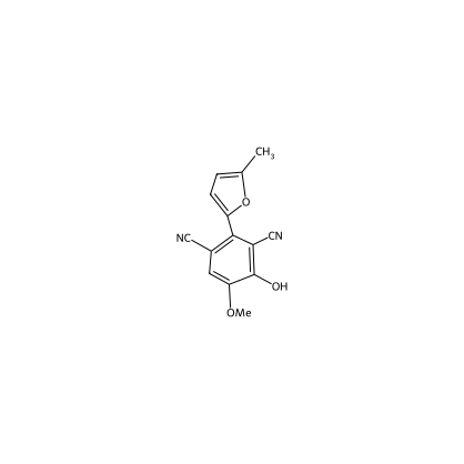 COc1cc(C#N)c(-c2ccc(C)o2)c(C#N)c1O